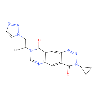 CCC(Cn1ccnn1)n1cnc2cc3c(=O)n(C4CC4)nnc3cc2c1=O